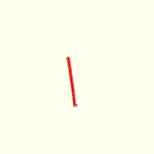 C=CC(=O)OCCOCCOCCOCCOCCOCCOCCOCCOCCOCCOCCOCCOCCOCCOCCOCCOCCOCCOCCOCCOCCOCCOCCOCC